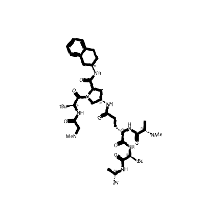 CNCC(=O)N[C@H](C(=O)N1C[C@@H](NC(=O)CC[C@H](NC(=O)[C@H](C)NC)C(=O)N[C@H](C(=O)N[C@@H](C)C(C)C)C(C)(C)C)CC1C(=O)N[C@@H]1CCc2ccccc2C1)C(C)(C)C